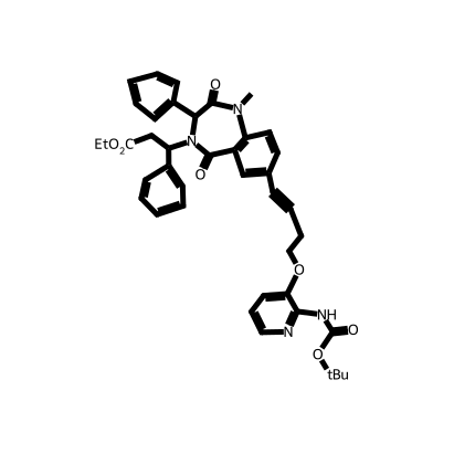 CCOC(=O)CC(c1ccccc1)N1C(=O)c2cc(C#CCCOc3cccnc3NC(=O)OC(C)(C)C)ccc2N(C)C(=O)C1c1ccccc1